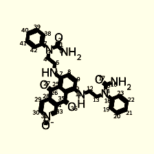 NC(=O)N(CCNc1ccc(NCCN(C(N)=O)c2ccccc2)c2c1C(=O)c1cc[n+]([O-])cc1C2=O)c1ccccc1